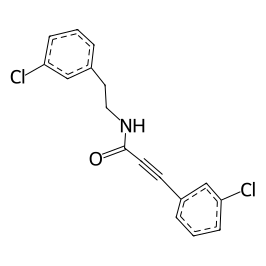 O=C(C#Cc1cccc(Cl)c1)NCCc1cccc(Cl)c1